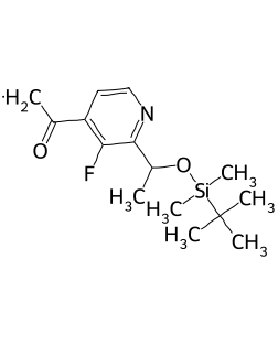 [CH2]C(=O)c1ccnc(C(C)O[Si](C)(C)C(C)(C)C)c1F